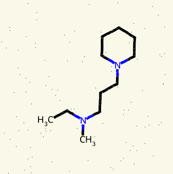 CCN(C)CCCN1CCCCC1